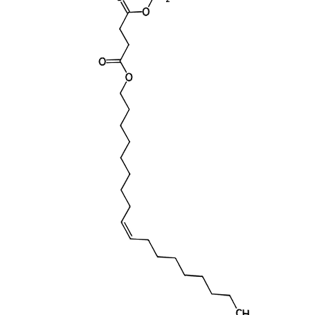 CCCCCCCC/C=C\CCCCCCCCOC(=O)CCC(=O)ON